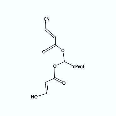 CCCCCC(OC(=O)C=CC#N)OC(=O)C=CC#N